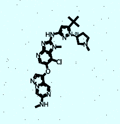 CNc1cn2ncc(Oc3cnc4nc(Nc5cc(C(C)(C)C)n([C@H]6CCN(C)C6)n5)n(C)c4c3Cl)c2cn1